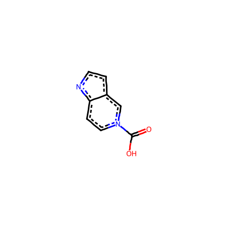 O=C(O)n1ccc2nccc-2c1